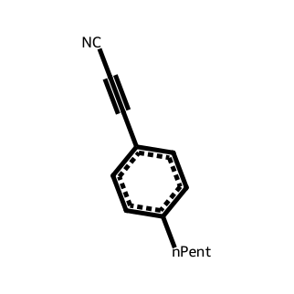 CCCCCc1ccc(C#CC#N)cc1